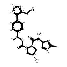 CC1=NC([C@H](C(=O)N2C[C@H](O)C[C@H]2C(=O)N[C@@H](C)c2ccc(-c3snnc3CO)cc2)C(C)C)C=N1